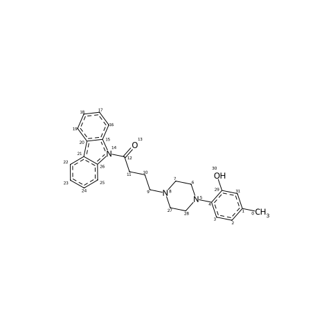 Cc1ccc(N2CCN(CCCC(=O)n3c4ccccc4c4ccccc43)CC2)c(O)c1